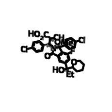 CC[C@](O)(c1cc(F)c2c(c1)C(=O)N([C@H](c1ccc(Cl)cc1)[C@H](C)C(=O)O)[C@@]2(OC)c1ccc(Cl)cc1)C1CCCCO1